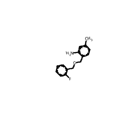 Cc1ccc(COCc2ccccc2F)c(N)c1